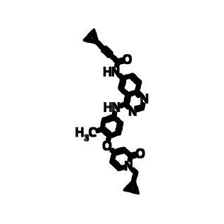 Cc1cc(Nc2ncnc3ccc(NC(=O)C#CC4CC4)cc23)ccc1Oc1ccn(CC2CC2)c(=O)c1